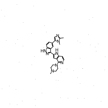 Cc1ncc(-c2ccc3[nH]nc(-c4cc5c(N6CCN(C)CC6)nccc5[nH]4)c3c2)n1C